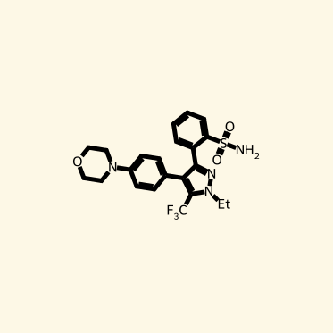 CCn1nc(-c2ccccc2S(N)(=O)=O)c(-c2ccc(N3CCOCC3)cc2)c1C(F)(F)F